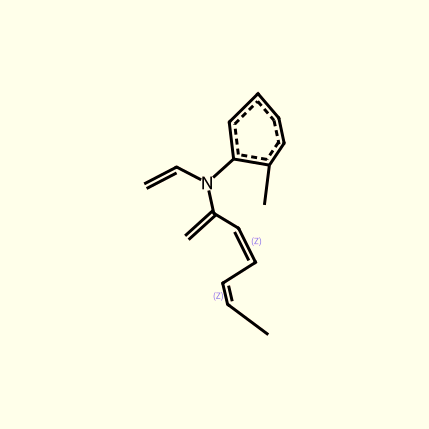 C=CN(C(=C)/C=C\C=C/C)c1ccccc1C